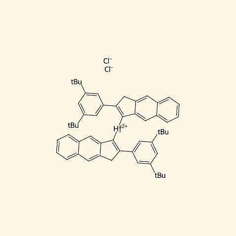 CC(C)(C)c1cc(C2=[C]([Hf+2][C]3=C(c4cc(C(C)(C)C)cc(C(C)(C)C)c4)Cc4cc5ccccc5cc43)c3cc4ccccc4cc3C2)cc(C(C)(C)C)c1.[Cl-].[Cl-]